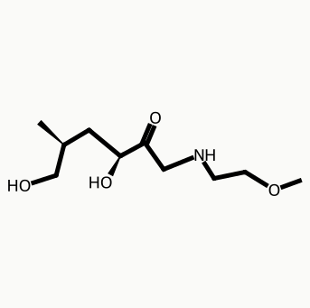 COCCNCC(=O)[C@@H](O)C[C@H](C)CO